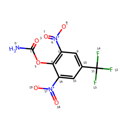 NC(=O)Oc1c([N+](=O)[O-])cc(C(F)(F)F)cc1[N+](=O)[O-]